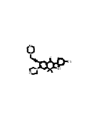 CC1(C)c2cc(N3CCOCC3)c(C#CCN3CCOCC3)cc2C(=O)c2c1[nH]c1cc(C#N)ccc21